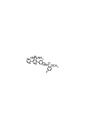 COc1ccc(F)cc1C(=O)NCc1ccc(-c2ncc(-c3cnccn3)c3[nH]nc(N)c23)cc1